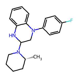 C[C@@H]1CCCCN1C1CN(c2ccc(F)cc2)c2ccccc2N1